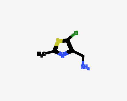 Cc1nc(CN)c(Cl)s1